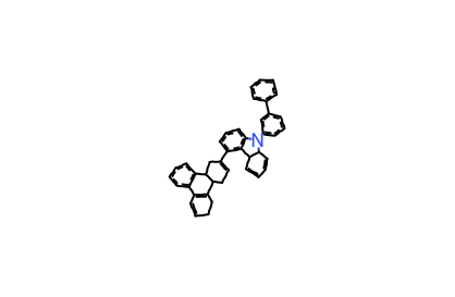 C1=CC2c3c(C4=CCC5C6=C(C=CCC6)c6ccccc6C5C4)cccc3N(c3cccc(-c4ccccc4)c3)C2C=C1